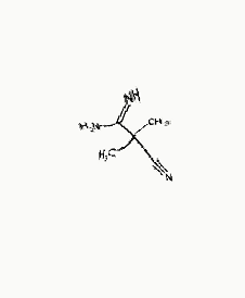 CC(C)(C#N)C(=N)N